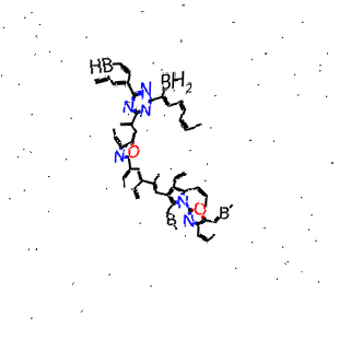 B\C(=C/C=C\C=C/C)c1nc(C(=C)/C=c2/oc(C(/C=C(C=C)/C(C)=C/c3c(C=C)c(/C=C\C)n(-c4nc(/C=C\C)c(/C=B\C)o4)c3/C=B\C)=C/C)n/c2=C/C)nc(C(/C=C\BC)=C/C=C)n1